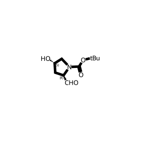 CC(C)(C)OC(=O)N1C[C@@H](O)C[C@@H]1C=O